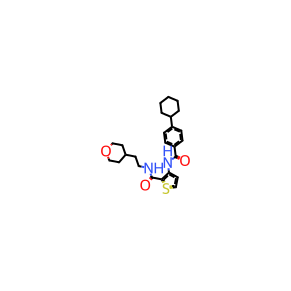 O=C(Nc1ccsc1C(=O)NCCC1CCOCC1)c1ccc(C2CCCCC2)cc1